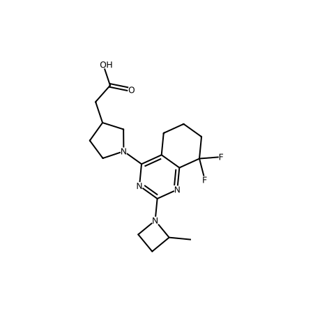 CC1CCN1c1nc(N2CCC(CC(=O)O)C2)c2c(n1)C(F)(F)CCC2